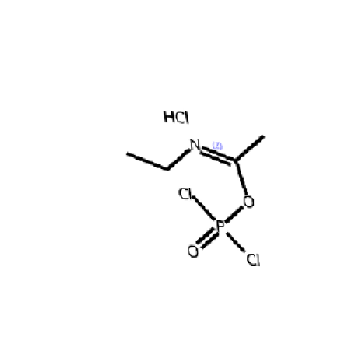 CC/N=C(/C)OP(=O)(Cl)Cl.Cl